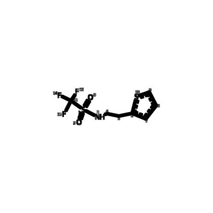 O=S(=O)(NCCc1cccs1)C(F)(F)F